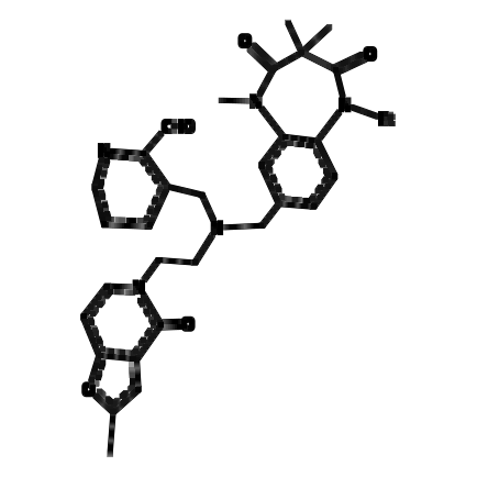 CCN1C(=O)C(C)(C)C(=O)N(C)c2cc(CN(CCn3ccc4oc(C)cc4c3=O)Cc3cccnc3C=O)ccc21